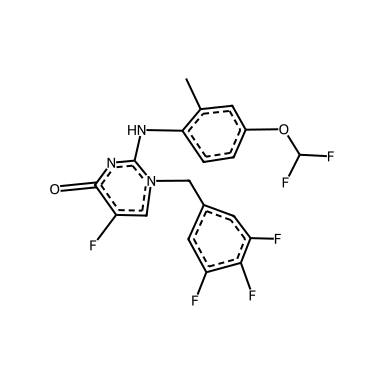 Cc1cc(OC(F)F)ccc1Nc1nc(=O)c(F)cn1Cc1cc(F)c(F)c(F)c1